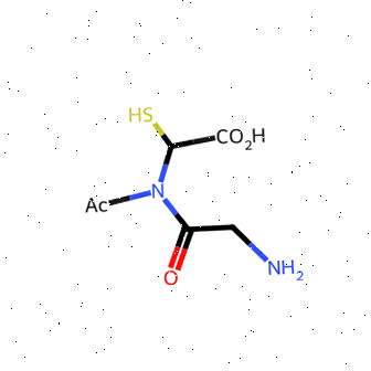 CC(=O)N(C(=O)CN)C(S)C(=O)O